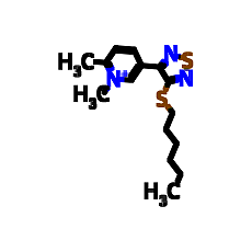 CCCCCCSc1nsnc1-c1ccc(C)[n+](C)c1